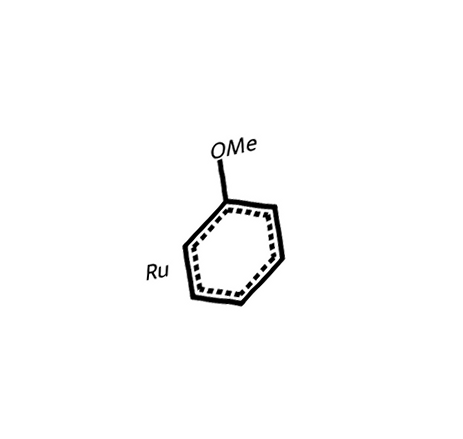 COc1ccccc1.[Ru]